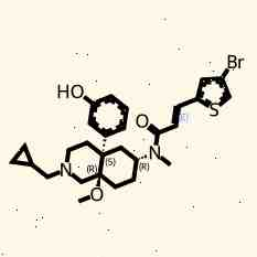 CO[C@]12CC[C@@H](N(C)C(=O)/C=C/c3cc(Br)cs3)C[C@]1(c1cccc(O)c1)CCN(CC1CC1)C2